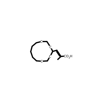 CC(=CC1CCCCCCCCCCC1)C(=O)O